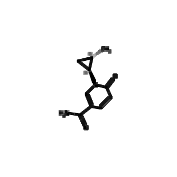 C[C@H]1C[C@@H]1n1cc(C(N)=O)ccc1=O